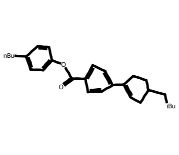 CCCCc1ccc(OC(=O)c2ccc(C3=CCC(CC(C)CC)CC3)cc2)cc1